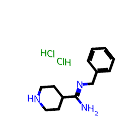 Cl.Cl.NC(=NCc1ccccc1)C1CCNCC1